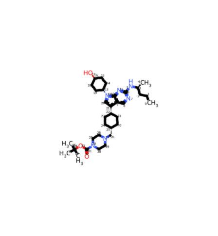 CCC[C@H](C)Nc1ncc2c(n1)n([C@H]1CC[C@H](O)CC1)cc2[C@H]1CC[C@@H](CN2CCN(C(=O)OC(C)(C)C)CC2)CC1